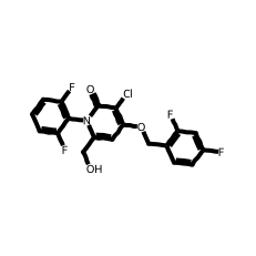 O=c1c(Cl)c(OCc2ccc(F)cc2F)cc(CO)n1-c1c(F)cccc1F